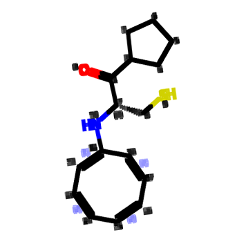 O=C(C1CCCC1)[C@H](CS)NC1=C/C=C\C=C/C=C\1